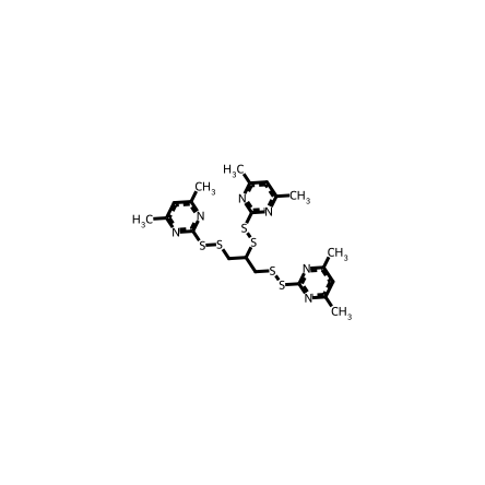 Cc1cc(C)nc(SSCC(CSSc2nc(C)cc(C)n2)SSc2nc(C)cc(C)n2)n1